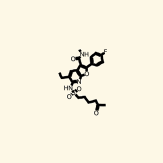 CCc1cc2c(C(=O)NC)c(-c3ccc(F)cc3)oc2nc1NS(=O)(=O)CCCCC(C)=O